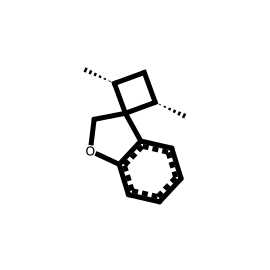 C[C@@H]1C[C@H](C)C12COc1ccccc12